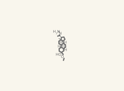 CCOC[C@@]1(O)CC[C@H]2[C@H](CC[C@@H]3[C@@H]2CC[C@]2(C)[C@@H](/C(C)=N/N)CC[C@@H]32)C1